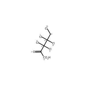 O=C(O)C(=O)C(Cl)(Cl)C(Cl)(Cl)CCl